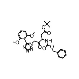 COc1cccc(OC)c1-c1nnnn1CC(=O)C(CC(=O)OC(C)(C)C)NC(=O)OCc1ccccc1